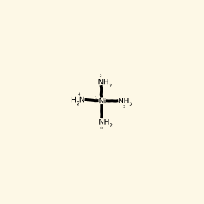 [NH2][Ni]([NH2])([NH2])[NH2]